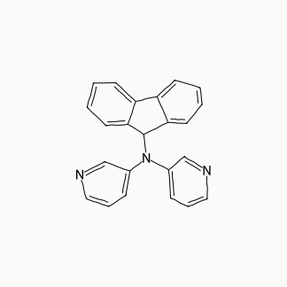 c1cncc(N(c2cccnc2)C2c3ccccc3-c3ccccc32)c1